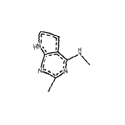 CNc1nc(C)nc2[nH]ccc12